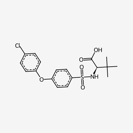 CC(C)(C)[C@@H](NS(=O)(=O)c1ccc(Oc2ccc(Cl)cc2)cc1)C(=O)O